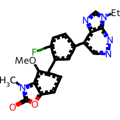 CCn1cnc2c(-c3ccc(F)c(-c4ccc5oc(=O)n(C)c5c4OC)c3)cnnc21